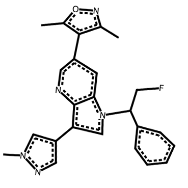 Cc1noc(C)c1-c1cnc2c(-c3cnn(C)c3)cn(C(CF)c3ccccc3)c2c1